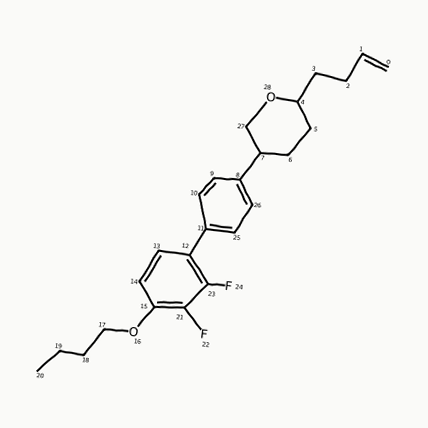 C=CCCC1CCC(c2ccc(-c3ccc(OCCCC)c(F)c3F)cc2)CO1